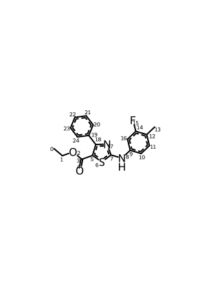 CCOC(=O)c1sc(Nc2ccc(C)c(F)c2)nc1-c1ccccc1